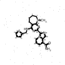 CN1CCCCc2c(NCc3cccs3)nc(-c3ncc4c(C(N)=O)cccn34)nc21